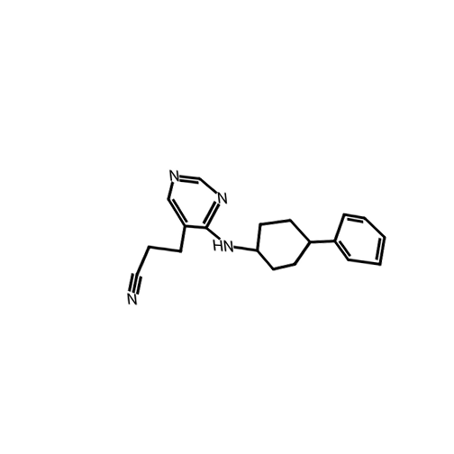 N#CCCc1cncnc1NC1CCC(c2ccccc2)CC1